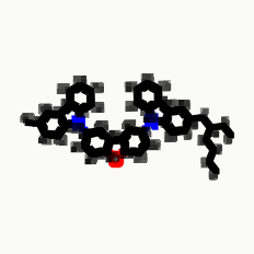 CCCCC(CC)Cc1ccc2c(c1)c1ccccc1n2-c1ccc2oc3ccc(-n4c5ccccc5c5cc(C)ccc54)cc3c2c1